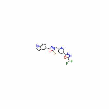 Cn1ccc2cc(-c3nn(Cc4ccc(-c5nnc(C(F)F)o5)cn4)c(=S)o3)ccc21